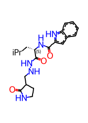 CC(C)C[C@H](NC(=O)c1cc2ccccc2[nH]1)C(=O)NNCC1CCNC1=O